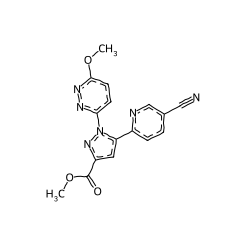 COC(=O)c1cc(-c2ccc(C#N)cn2)n(-c2ccc(OC)nn2)n1